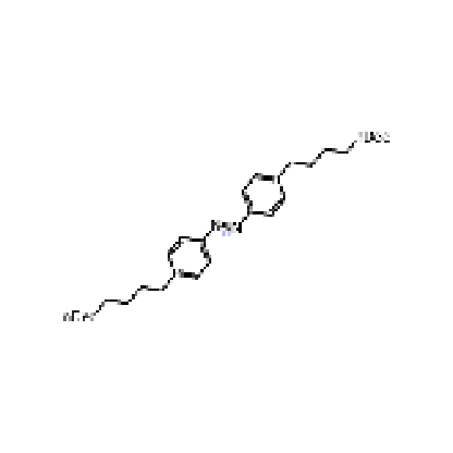 CCCCCCCCCCCCCCc1ccc(/N=N/c2ccc(CCCCCCCCCCCCCC)cc2)cc1